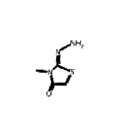 CN1C(=O)CSC1=NN